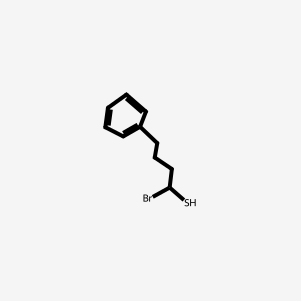 SC(Br)CCCc1ccccc1